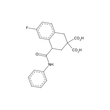 O=C(Nc1ccccc1)C1CC(C(=O)O)(C(=O)O)Cc2ccc(F)cc21